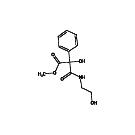 COC(=O)C(O)(C(=O)NCCO)c1ccccc1